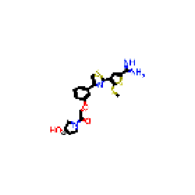 CSc1sc(C(=N)N)cc1-c1nc(-c2cccc(OCC(=O)N3CC[C@H](O)C3)c2)cs1